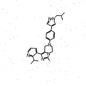 Cc1nc(-c2cccnc2C(C)C)c2n1CCN(c1ccc(-c3cnn(CC(C)C)c3)cc1)C2